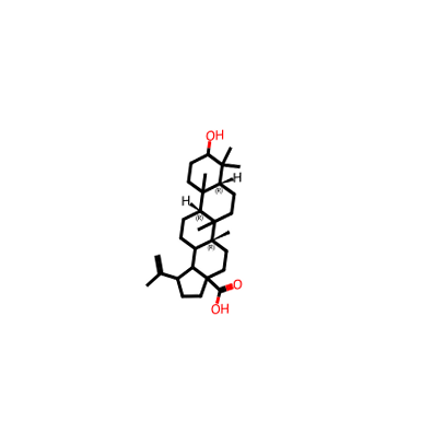 C=C(C)C1CCC2(C(=O)O)CC[C@]3(C)C(CC[C@@H]4C5(C)CCC(O)C(C)(C)[C@@H]5CCC43C)C12